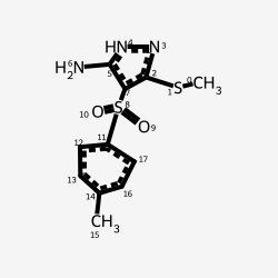 CSc1n[nH]c(N)c1S(=O)(=O)c1ccc(C)cc1